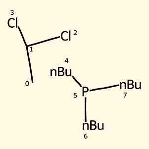 CC(Cl)Cl.CCCCP(CCCC)CCCC